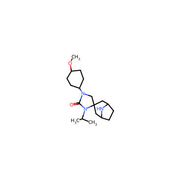 COC1CCC(N2CC3(CC4CCC(C3)N4)N(C(C)C)C2=O)CC1